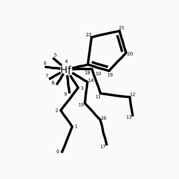 CCC[CH2][Hf]([CH3])([CH3])([CH3])([CH3])([CH3])([CH2]CCC)([CH2]CCC)[C]1=CC=CC1